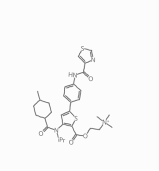 CC1CCC(C(=O)N(c2cc(-c3ccc(NC(=O)c4cscn4)cc3)sc2C(=O)OCC[N+](C)(C)C)C(C)C)CC1